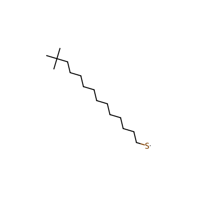 CC(C)(C)CCCCCCCCCCCC[S]